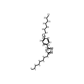 CCCCCCCCc1nnc(-c2ccc(OCCCCCCC)cc2)s1